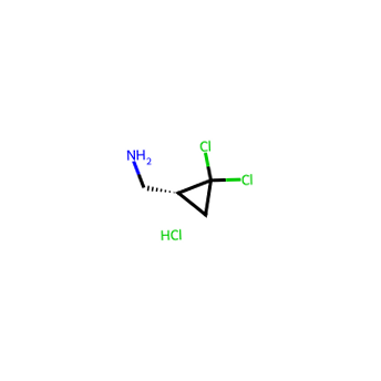 Cl.NC[C@H]1CC1(Cl)Cl